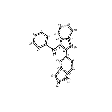 c1ccc(Nc2c(-c3ccc4[nH]ncc4c3)nc3ccccn23)cc1